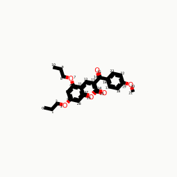 CCCOc1cc(OCCC)c2cc(C(=O)c3ccc(OC)cc3)c(=O)oc2c1